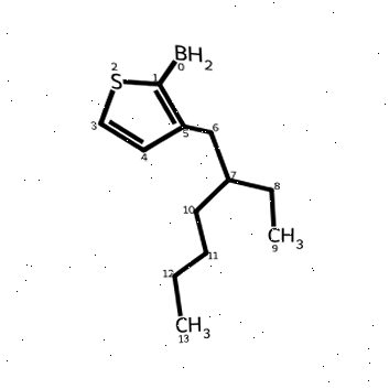 Bc1sccc1CC(CC)CCCC